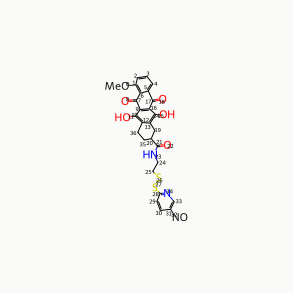 COc1cccc2c1C(=O)c1c(O)c3c(c(O)c1C2=O)CC(C(=O)NCCSSc1ccc(N=O)cn1)CC3